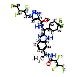 C[C@@H](NC(=O)C(F)C(F)CF)c1ccc2nc([C@@H](NC(=O)c3cn(CC(F)C(F)CF)nn3)C3CCC(F)(F)CC3)[nH]c2c1